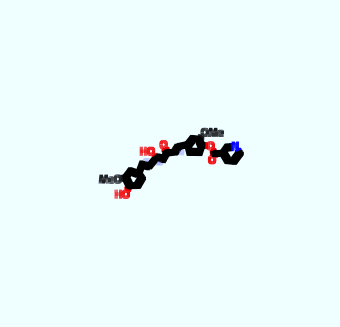 COc1cc(/C=C/C(O)=C/C(=O)/C=C/c2ccc(OC(=O)c3cccnc3)c(OC)c2)ccc1O